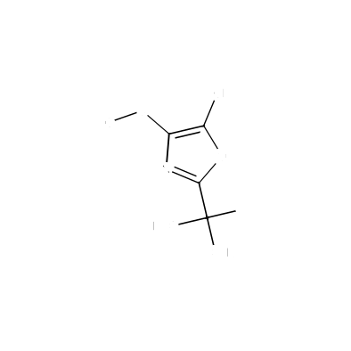 CSc1nc(C(C)(C)C)oc1C